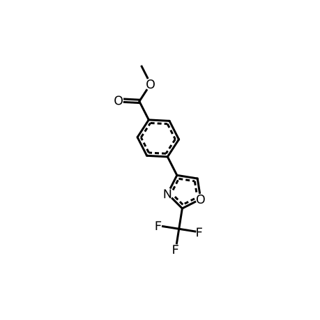 COC(=O)c1ccc(-c2coc(C(F)(F)F)n2)cc1